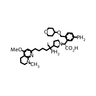 COc1cc(CCCCC(P)(I)C2CCN([C@@H](C(=O)O)c3cc(P)ccc3COC3CCOCC3)C2)nc2c1CCCN2C